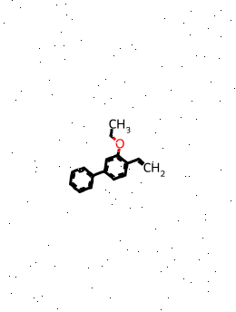 C=Cc1ccc(-c2ccccc2)cc1OCC